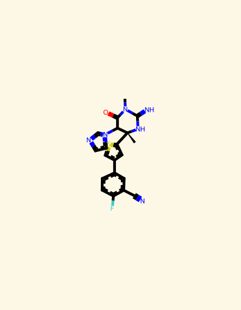 CN1C(=N)N[C@](C)(c2cc(-c3ccc(F)c(C#N)c3)cs2)C(n2ccnc2)C1=O